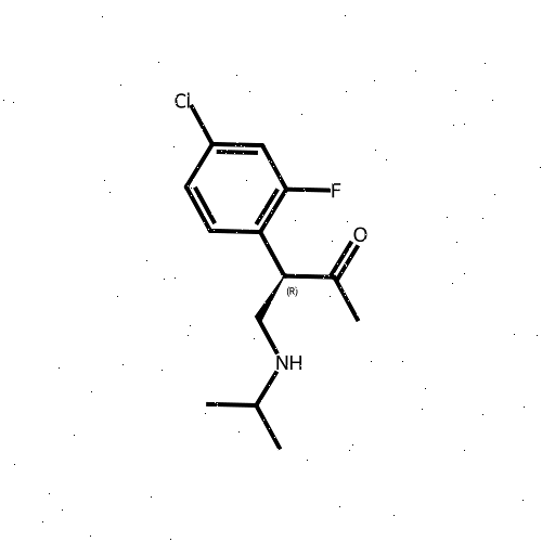 CC(=O)[C@@H](CNC(C)C)c1ccc(Cl)cc1F